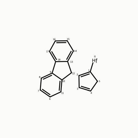 [Hf][C]1=CC=CC1.c1ccc2c(c1)Cc1ccccc1-2